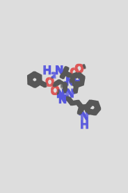 COc1ccc(Cn2c(CCc3c[nH]c4ccccc34)nnc2[C@@H](CC(=O)OCc2ccccc2)NC(=O)C(C)(C)N)cc1